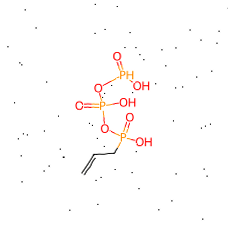 C=CCP(=O)(O)OP(=O)(O)O[PH](=O)O